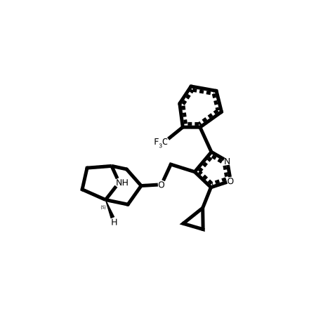 FC(F)(F)c1ccccc1-c1noc(C2CC2)c1COC1CC2CC[C@@H](C1)N2